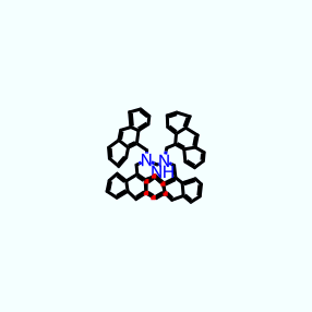 N=C(N(Cc1c2ccccc2cc2ccccc12)Cc1c2ccccc2cc2ccccc12)N(Cc1c2ccccc2cc2ccccc12)Cc1c2ccccc2cc2ccccc12